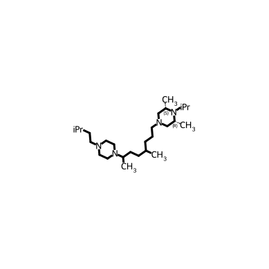 CC(C)CCN1CCN(C(C)CCC(C)CCCN2C[C@@H](C)N(C(C)C)[C@@H](C)C2)CC1